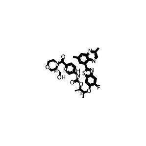 Cc1cc(-c2nc3cc(F)c(O[C@@H](C)[C@@H](C)OC(=O)Nc4ccc(C(=O)N5CCOC[C@H]5CO)nc4)cc3s2)c2ncc(C)nc2c1